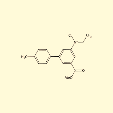 COC(=O)c1cc(-c2ccc(C)cc2)cc(/[N+](Cl)=C/C(F)(F)F)c1